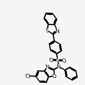 O=S(=O)(c1ccc(-c2nc3ccccc3s2)cc1)N(c1ccccc1)c1nc2cc(Cl)ccc2o1